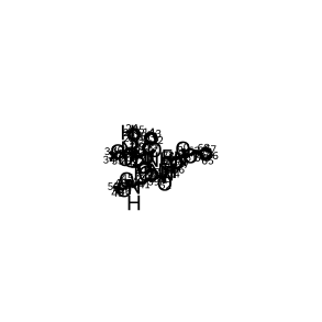 CC(C)CC(NC(=O)C(Cc1ccccc1)NC(=O)C(Cc1ccccc1)NC(=O)OC(C)(C)C)C(=O)NC(CCCCNC(=O)OC(C)(C)C)C(=O)N1CC2(CCN(C(=O)OCc3ccccc3)CC2(F)F)C1